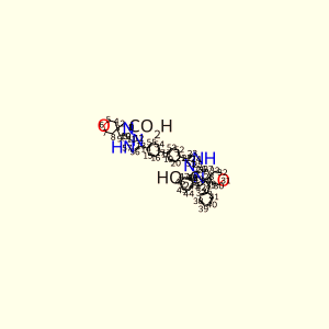 O=C(O)N1CC2(CCOCC2)C[C@H]1c1nc(-c2ccc(-c3ccc(-c4c[nH]c([C@@H]5CC6(CCOCC6)C(Cc6ccccc6)(Cc6ccccc6)N5C(=O)O)n4)cc3)cc2)c[nH]1